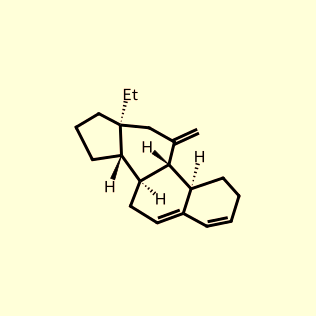 C=C1C[C@]2(CC)CCC[C@H]2[C@@H]2CC=C3C=CCC[C@@H]3[C@@H]12